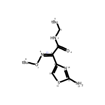 CC(C)(C)CNC(=O)/C(=N/OC(C)(C)C)c1csc(N)n1